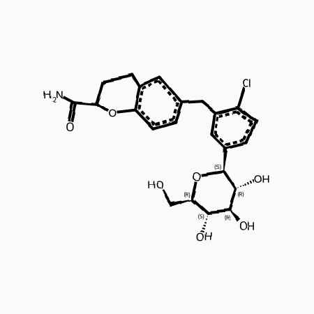 NC(=O)C1CCc2cc(Cc3cc([C@@H]4O[C@H](CO)[C@@H](O)[C@H](O)[C@H]4O)ccc3Cl)ccc2O1